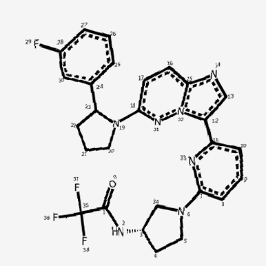 O=C(N[C@H]1CCN(c2cccc(-c3cnc4ccc(N5CCCC5c5cccc(F)c5)nn34)n2)C1)C(F)(F)F